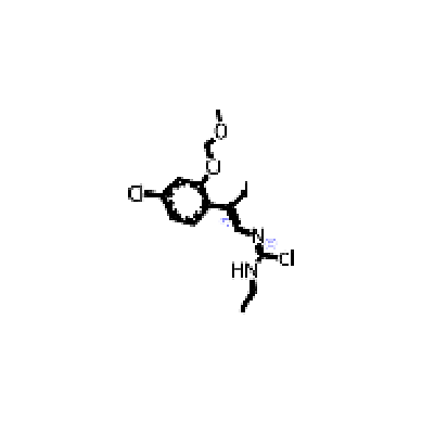 CCN/C(Cl)=N\C=C(/I)c1ccc(Cl)cc1OCOC